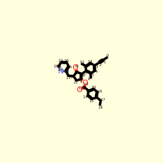 CC#Cc1cc(C)c(C2=C(OC(=O)c3ccc(CC)cc3)CC(Cc3ccccn3)C2=O)c(C)c1